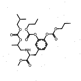 CCCOC(=O)Oc1ccc(C[C@H](NCC(C)OC(=O)OCC(C)C)C(=O)OC)cc1OC(=O)OCCC